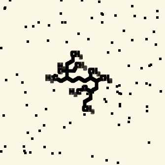 CCCC(CC(C)C(C)CCCC(CC)C(C)(CC)CCC)OC